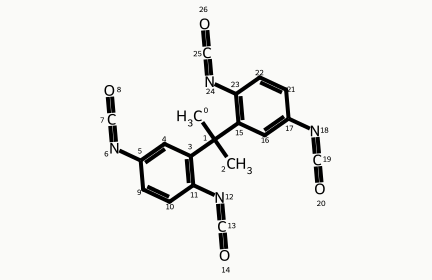 CC(C)(c1cc(N=C=O)ccc1N=C=O)c1cc(N=C=O)ccc1N=C=O